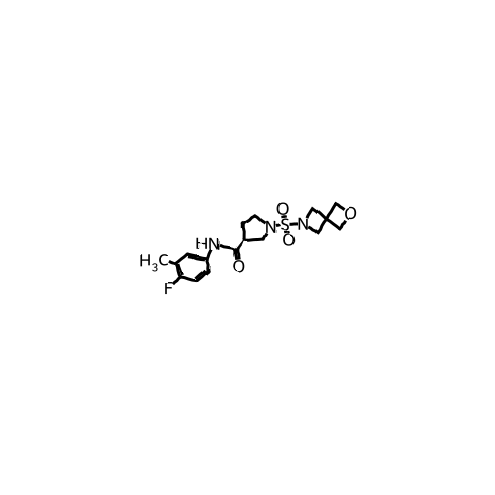 Cc1cc(NC(=O)[C@H]2CCN(S(=O)(=O)N3CC4(COC4)C3)C2)ccc1F